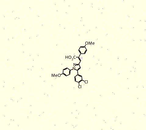 COc1ccc(/C(=C/c2cc(-c3ccc(Cl)c(Cl)c3)n(-c3ccc(OC)cc3)n2)C(=O)O)cc1